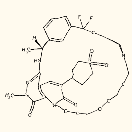 C[C@H]1Nc2nn(C)c(=O)c3c2cc(C2CCS(=O)(=O)CC2)c(=O)n3CCCOCCCCN2CC(C2)CC(F)(F)c2cccc1c2